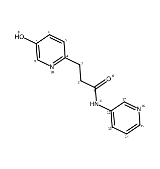 O=C(CCc1ccc(O)cn1)Nc1cccnc1